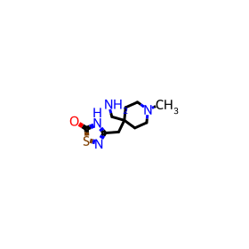 CN1CCC(CN)(Cc2nsc(=O)[nH]2)CC1